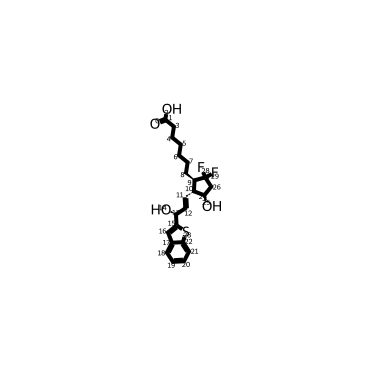 O=C(O)CCCCCC[C@@H]1[C@@H](C=C[C@@H](O)c2cc3ccccc3s2)[C@H](O)CC1(F)F